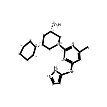 Cc1cc(Nc2ccn[nH]2)nc(N2C[C@@H](C(=O)O)C[C@@H](C3CCCCC3)C2)n1